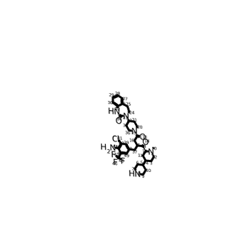 CN1CCC(C2CCNCC2)C[C@H]1C(=O)C(CC(=O)N1CCC(N2CCc3ccccc3NC2=O)CC1)Cc1cc(Cl)c(N)c(C(F)(F)F)c1